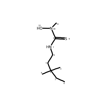 CCC(C)(C)CCNC(=S)N(C)O